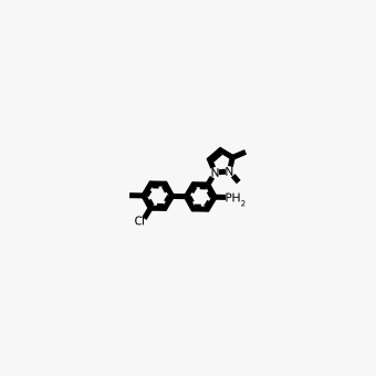 Cc1ccc(-c2ccc(P)c(N3C=CC(C)N3C)c2)cc1Cl